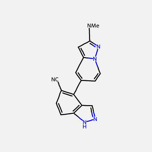 CNc1cc2cc(-c3c(C#N)ccc4[nH]ncc34)ccn2n1